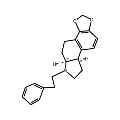 c1ccc(CCN2CC[C@@H]3c4ccc5c(c4CC[C@@H]32)OCO5)cc1